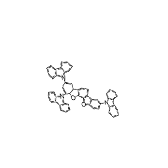 C1=C(n2c3ccccc3c3ccccc32)C=C(n2c3ccccc3c3ccccc32)C2Oc3c(ccc4c3oc3ccc(-n5c6ccccc6c6ccccc65)cc34)C12